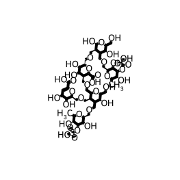 CC1O[C@@H](COCC2[C@H](O)C(CO)OC(COC[C@@H]3C(C(=O)O)O[C@@H](COC[C@@H]4C(COC[C@@H]5OC(C)[C@@H](O)C(OS(=O)(=O)O)C5O)[C@H](O)C(CO)O[C@H]4O)C(O)C3O)[C@@H]2COC[C@@H]2OC(C(=O)O)=CC(O)C2O)C(O)C(OS(=O)(=O)O)[C@@H]1O